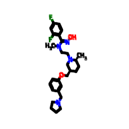 C[C@@H]1CC[C@@H](COc2cccc(CN3CCCC3)c2)CN1CCN(C)C(=NO)c1ccc(F)cc1F